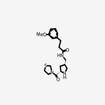 COc1cccc(CCC(=O)NC[C@@H]2CN[C@H](C(=O)N3CCSC3)C2)c1